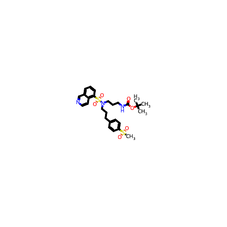 CC(C)(C)OC(=O)NCCCN(CCCc1ccc(S(C)(=O)=O)cc1)S(=O)(=O)c1cccc2cnccc12